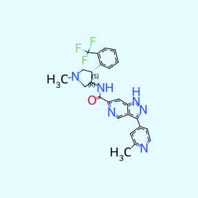 Cc1cc(-c2n[nH]c3cc(C(=O)N[C@H]4CN(C)C[C@@H]4c4ccccc4C(F)(F)F)ncc23)ccn1